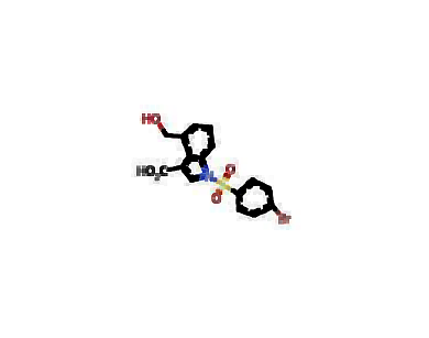 O=C(O)c1cn(S(=O)(=O)c2ccc(Br)cc2)c2cccc(CO)c12